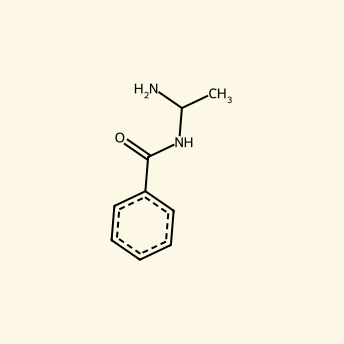 CC(N)NC(=O)c1ccccc1